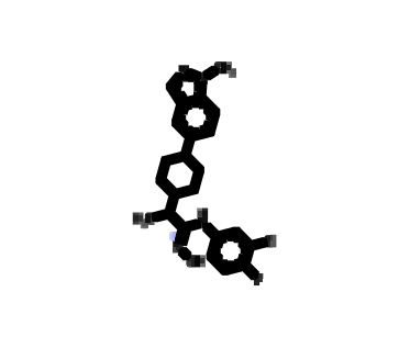 CC(/C(=N/O)Nc1ccc(F)c(Cl)c1)C1CCC(c2ccc3c(cnn3C)c2)CC1